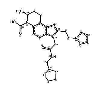 C[C@H]1CCc2c(ccc3c2nc(CCn2cccn2)n3CC(=O)NC[C@H]2CCCO2)N1C(=O)O